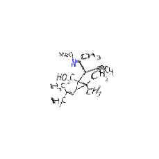 C#CC(C(C)=NOC)C1(C(=O)O)C(C=C(C)C)C1(C)C